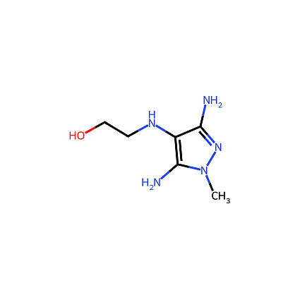 Cn1nc(N)c(NCCO)c1N